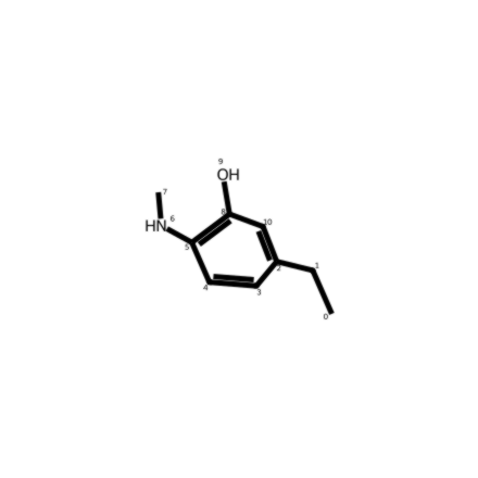 CCc1ccc(NC)c(O)c1